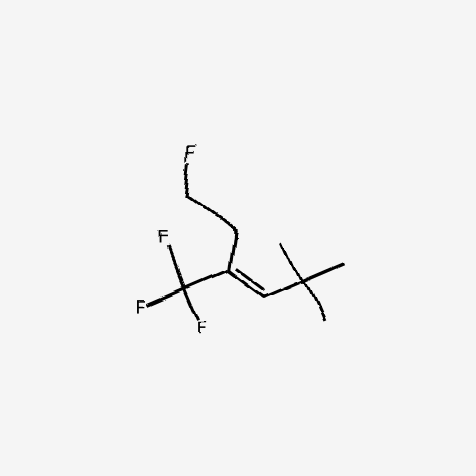 CC(C)(C)/C=C(\CCF)C(F)(F)F